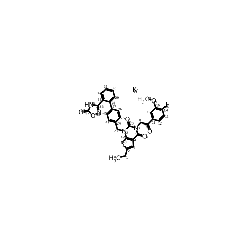 CCc1cc2c(=O)n(CC(=O)c3ccc(F)c(OC)c3)c(=O)n(Cc3ccc(-c4ccccc4-c4noc(=O)[nH]4)cc3)c2s1.[K]